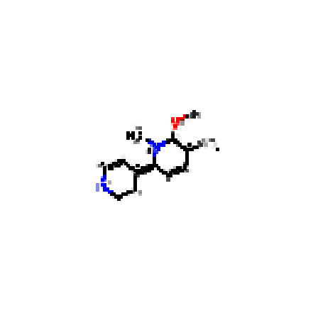 CC(C)OC1C([N+](=O)[O-])C=CC(=C2C=CNCC2)N1C